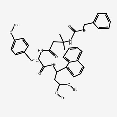 CCOC(CC(NC(=O)[C@H](Cc1ccc(OC(C)(C)C)cc1)NC(=O)CC(C)(C)NC(=O)NCc1ccccc1)c1cccc2ccccc12)OCC